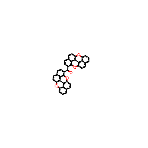 O=C(c1ccc2ccc3oc4cccc5ccc6oc1c2c3-c6c54)c1ccc2ccc3oc4cccc5ccc6oc1c2c3-c6c54